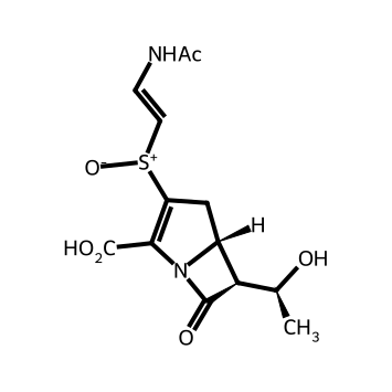 CC(=O)N/C=C/[S+]([O-])C1=C(C(=O)O)N2C(=O)[C@H]([C@H](C)O)[C@H]2C1